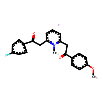 COc1ccc(C(=O)Cc2cccc(CC(=O)c3ccc(F)cc3)[n+]2C)cc1.[I-]